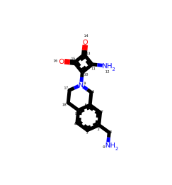 NCc1ccc2c(c1)CN(c1c(N)c(=O)c1=O)CC2